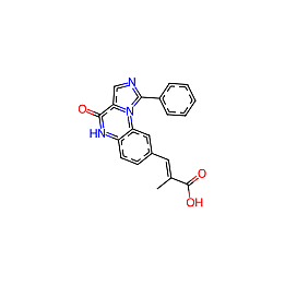 C/C(=C\c1ccc2[nH]c(=O)c3cnc(-c4ccccc4)n3c2c1)C(=O)O